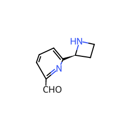 O=Cc1cccc([C@@H]2CCN2)n1